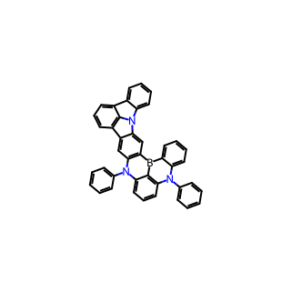 c1ccc(N2c3ccccc3B3c4cc5c(cc4N(c4ccccc4)c4cccc2c43)c2cccc3c4ccccc4n5c32)cc1